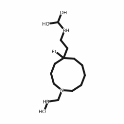 CCC1(CCBC(O)O)CCCCCN(CBO)CCC1